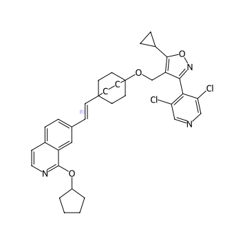 Clc1cncc(Cl)c1-c1noc(C2CC2)c1COC12CCC(/C=C/c3ccc4ccnc(OC5CCCC5)c4c3)(CC1)CC2